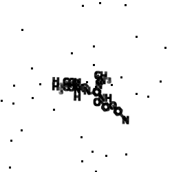 Cc1cn(-c2cc(CN3CCC[C@H](NC(=O)OC(C)(C)C)C3)cc(NC(=O)c3cccc(Oc4ccc(C#N)cc4)c3)c2)cn1